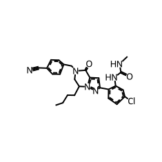 CCCCC1CN(Cc2ccc(C#N)cc2)C(=O)c2cc(-c3ccc(Cl)cc3NC(=O)NC)nn21